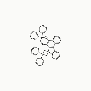 C1=CC(c2ccccc2)(c2ccccc2)Oc2c1c1c(c3ccccc23)-c2ccccc2C12CC(c1ccccc1)(c1ccccc1)C2